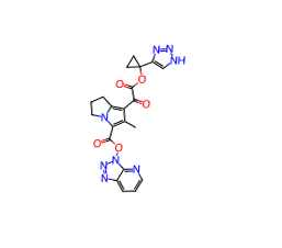 Cc1c(C(=O)C(=O)OC2(c3c[nH]nn3)CC2)c2n(c1C(=O)On1nnc3cccnc31)CCC2